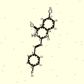 O=c1[nH]c(/C=C/c2ccc(F)cc2)nc2ccc(Cl)cc12